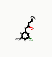 C=CCC(=O)Cc1cc(Cl)cc(C#N)c1